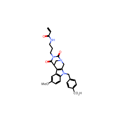 C=CC(=O)NCCCN1C(=O)C2CN(Cc3c2c2cc(OC)ccc2n3Cc2ccc(C(=O)O)cc2)C1=O